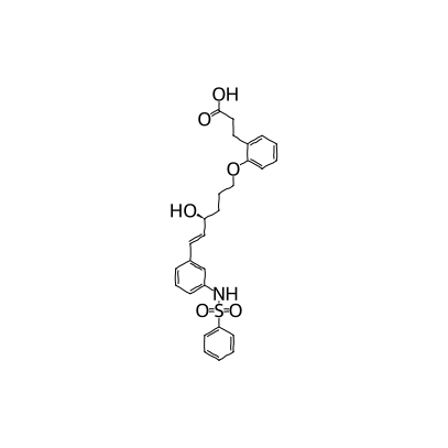 O=C(O)CCc1ccccc1OCCC[C@H](O)/C=C/c1cccc(NS(=O)(=O)c2ccccc2)c1